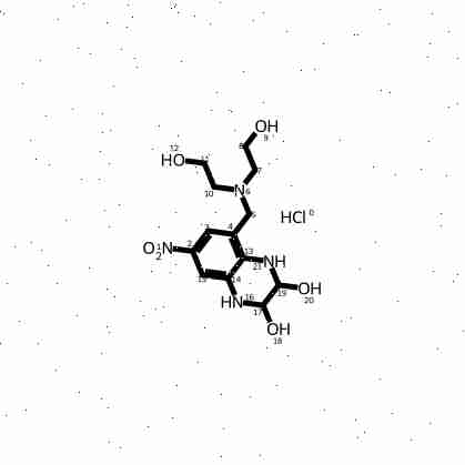 Cl.O=[N+]([O-])c1cc(CN(CCO)CCO)c2c(c1)NC(O)C(O)N2